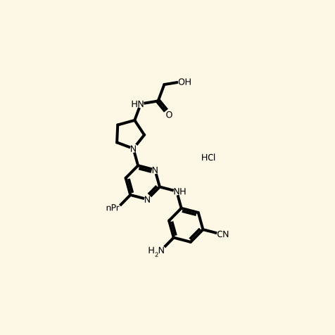 CCCc1cc(N2CCC(NC(=O)CO)C2)nc(Nc2cc(N)cc(C#N)c2)n1.Cl